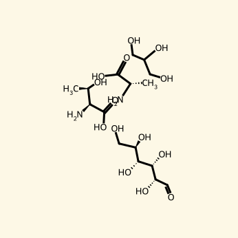 C[C@@H](O)[C@H](N)C(=O)O.C[C@H](N)C(=O)O.O=C[C@H](O)[C@@H](O)[C@H](O)[C@H](O)CO.OCC(O)CO